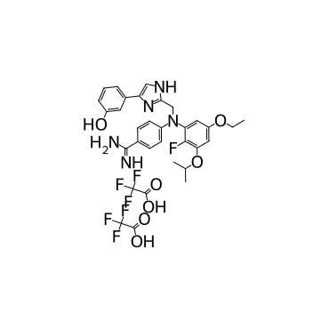 CCOc1cc(OC(C)C)c(F)c(N(Cc2nc(-c3cccc(O)c3)c[nH]2)c2ccc(C(=N)N)cc2)c1.O=C(O)C(F)(F)F.O=C(O)C(F)(F)F